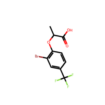 CC(Oc1ccc(C(F)(F)F)cc1Br)C(=O)O